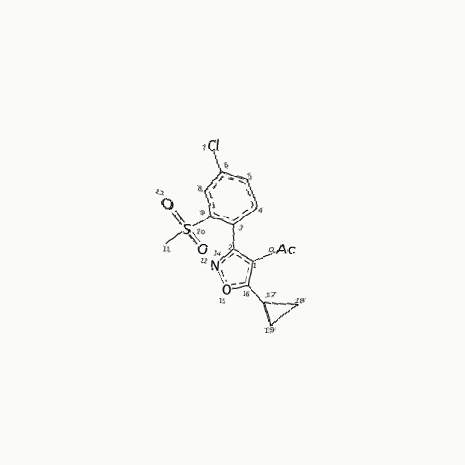 CC(=O)c1c(-c2ccc(Cl)cc2S(C)(=O)=O)noc1C1CC1